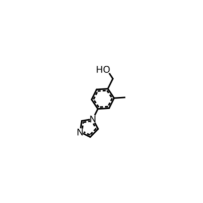 Cc1cc(-n2ccnc2)ccc1CO